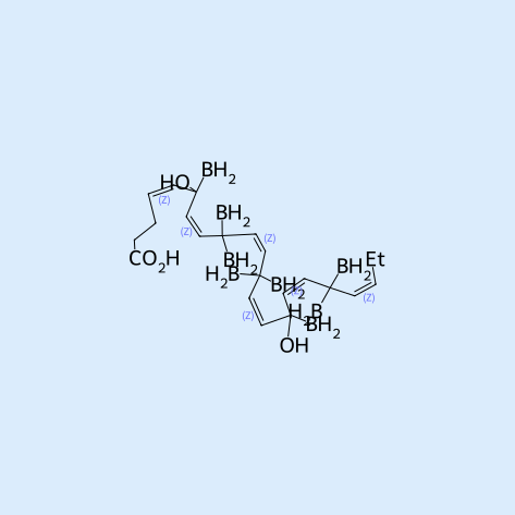 BC(B)(/C=C\C(B)(B)/C=C\C(B)(O)/C=C\C(B)(B)/C=C\CC)/C=C\C(B)(O)/C=C\CCC(=O)O